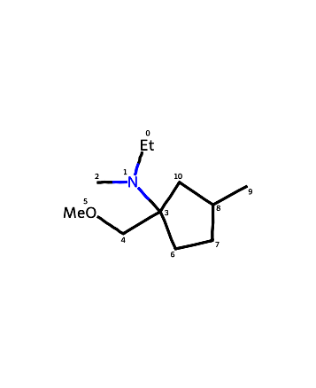 CCN(C)C1(COC)CCC(C)C1